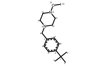 CC(C)(C)c1ccc(CN2CCN(OI)CC2)cc1